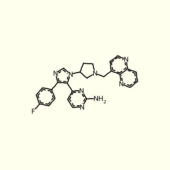 Nc1nccc(-c2c(-c3ccc(F)cc3)ncn2C2CCN(Cc3ccnc4cccnc34)C2)n1